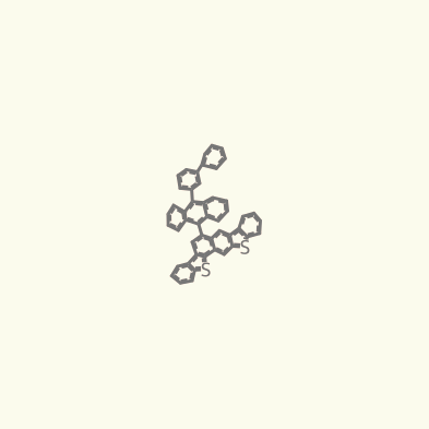 c1ccc(-c2cccc(-c3c4ccccc4c(-c4cc5c6ccccc6sc5c5cc6sc7ccccc7c6cc45)c4ccccc34)c2)cc1